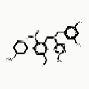 CCN(C[C@H]1CC[C@H](C(=O)O)CC1)c1ccc(CC(F)(F)F)cc1CN(Cc1cc(C(F)(F)F)cc(C(F)(F)F)c1)c1nnn(C)n1